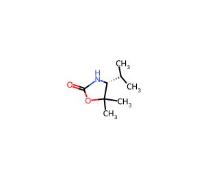 CC(C)[C@H]1NC(=O)OC1(C)C